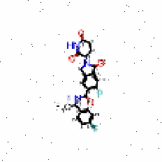 O=C1CCC(N2Cc3cc(C(=O)NC(c4ccc(F)cc4)C(F)(F)F)c(F)cc3C2=O)C(=O)N1